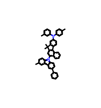 Cc1ccc(N(c2cccc(C)c2)c2ccc3c(c2)C(C)(C)c2cc(-n4c5ccc(C)cc5c5cc(-c6ccccc6)ccc54)c4ccccc4c2-3)cc1